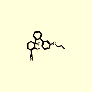 CCCOc1cccc(-c2ccccc2C2(F)CC=CC(C#N)=C2F)c1